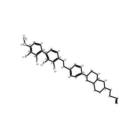 C=CCCC1CCC2CC(c3ccc(CCc4ccc(-c5ccc(OCC)c(F)c5F)c(F)c4F)cc3)CCC2C1